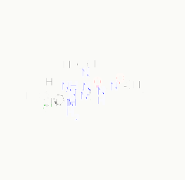 C=CC(=O)N1CC(NC(=O)c2c(Cl)nc(CNC(=N)c3cc(C(C)(C)C)c(Cl)cc3N)n2C2CN(C(C)C)C2)C1